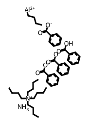 CCCC[N+](CCCC)(CCCC)CCCC.CCC[CH2][Al+2].N.O=C(O)c1ccccc1.O=C([O-])c1ccccc1.O=C([O-])c1ccccc1.O=C([O-])c1ccccc1